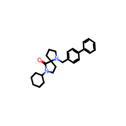 O=C1N(C2CCCCC2)CCC12CCCN2Cc1ccc(-c2ccccc2)cc1